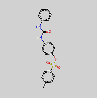 Cc1ccc(S(=O)(=O)Oc2ccc(NC(=O)Nc3ccccc3)cc2)cc1